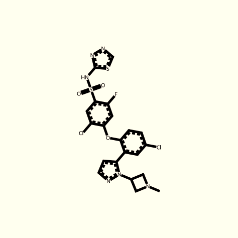 CN1CC(n2nccc2-c2cc(Cl)ccc2Oc2cc(F)c(S(=O)(=O)Nc3nncs3)cc2Cl)C1